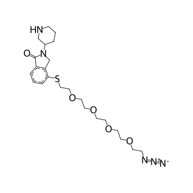 [N-]=[N+]=NCCOCCOCCOCCOCCSc1cccc2c1CN(C1CCCNC1)C2=O